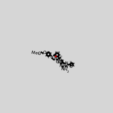 COCCOc1ccc(N2CCN(C(=O)C(C)(c3ccccc3)n3cc4c(nc(N)n5nc(-c6ccco6)nc45)n3)CC2)cc1